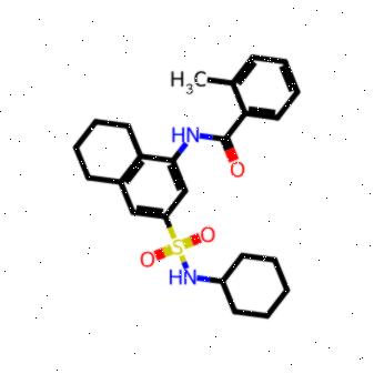 Cc1ccccc1C(=O)Nc1cc(S(=O)(=O)NC2CCCCC2)cc2c1CCCC2